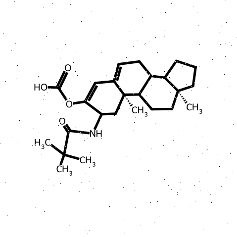 CC(C)(C)C(=O)NC1C[C@@]2(C)C(=CCC3C4CCC[C@@]4(C)CCC32)C=C1OC(=O)O